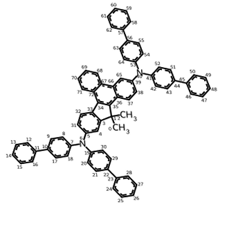 CC1(C)c2cc(N(c3ccc(-c4ccccc4)cc3)c3ccc(-c4ccccc4)cc3)ccc2-c2c1c1ccc(N(c3ccc(-c4ccccc4)cc3)c3ccc(-c4ccccc4)cc3)cc1c1ccccc21